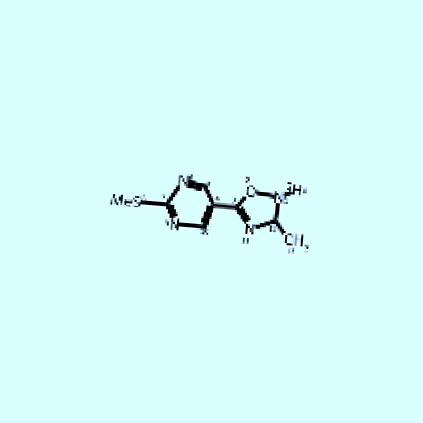 [2H]N1OC(c2cnc(SC)nc2)=NC1C